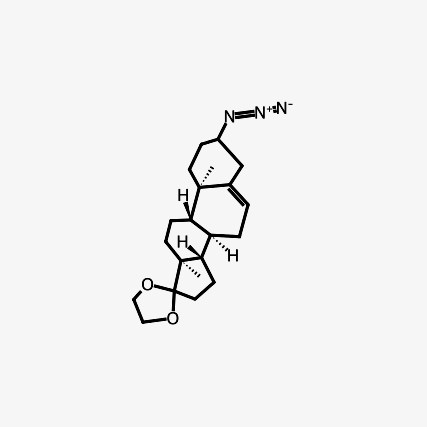 C[C@]12CCC(N=[N+]=[N-])CC1=CC[C@@H]1[C@@H]2CC[C@@]2(C)[C@H]1CCC21OCCO1